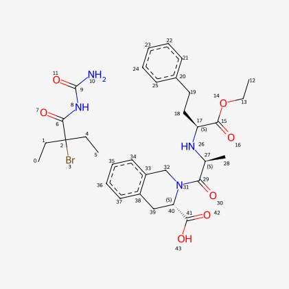 CCC(Br)(CC)C(=O)NC(N)=O.CCOC(=O)[C@H](CCc1ccccc1)N[C@@H](C)C(=O)N1Cc2ccccc2C[C@H]1C(=O)O